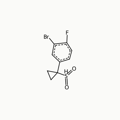 O=[SH](=O)C1(c2ccc(F)c(Br)c2)CC1